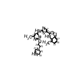 Cc1cc(Nc2ncc(C(=O)Nc3c(C)cccc3Cl)s2)nc(OCCN2CCNCC2)n1